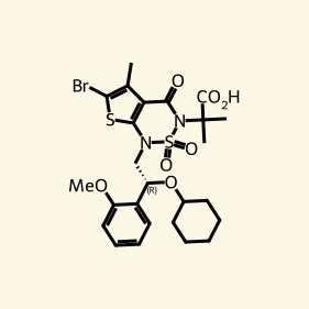 COc1ccccc1[C@H](CN1c2sc(Br)c(C)c2C(=O)N(C(C)(C)C(=O)O)S1(=O)=O)OC1CCCCC1